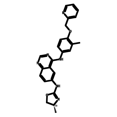 Cc1cc(Nc2ncnc3ccc(NC4=N[C@H](C)CO4)cc23)ccc1OCc1ccccn1